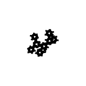 c1ccc(-c2nc(-c3ccccc3)nc(-c3cc(-c4cc5c6c(cccc6c4)-c4ccccc4-5)cc4oc5ccccc5c34)n2)cc1